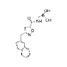 O=C(NCB(O)O)C1CC(Cc2ccc3ccccc3c2)=NO1